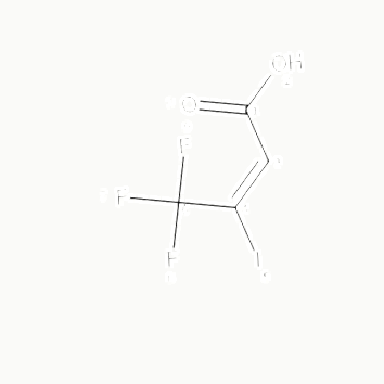 O=C(O)/C=C(/I)C(F)(F)F